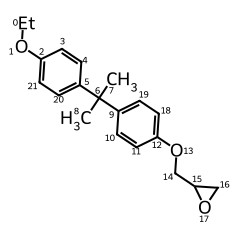 CCOc1ccc(C(C)(C)c2ccc(OCC3CO3)cc2)cc1